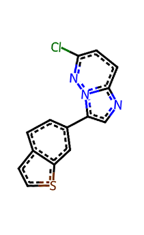 Clc1ccc2ncc(-c3ccc4ccsc4c3)n2n1